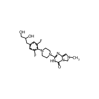 CN1C=C2N=C(N3CCN(c4c(F)cc(CC(O)CO)cc4F)CC3)NC(=O)N2C1